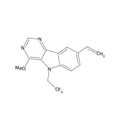 C=Cc1ccc2c(c1)c1ncnc(OC)c1n2CC(F)(F)F